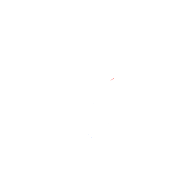 O=C(c1ncccn1)N1CC[C@@](O)(c2ccccc2)[C@@H]2CCCCC21